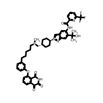 CN(CCCCCc1cccc(Oc2cccc3c2C(=O)NC(=O)C3=O)c1)C[C@H]1CC[C@H](n2cc3cc(NC(=O)c4cccc(C(F)(F)F)n4)c(C(C)(C)O)cc3n2)CC1